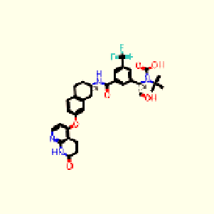 CC(C)(C)N(C(=O)O)[C@H](CO)c1cc(C(=O)N[C@@H]2CCc3ccc(Oc4ccnc5c4CCC(=O)N5)cc3C2)cc(C(F)(F)F)c1